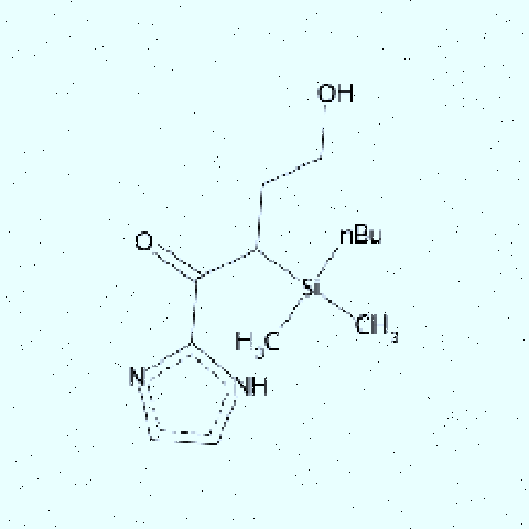 CCCC[Si](C)(C)C(CCO)C(=O)c1ncc[nH]1